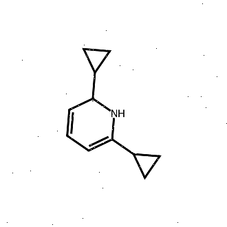 C1=C[C](C2CC2)NC(C2CC2)=C1